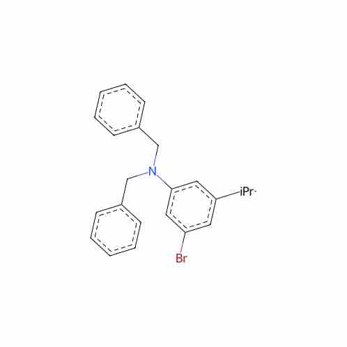 C[C](C)c1cc(Br)cc(N(Cc2ccccc2)Cc2ccccc2)c1